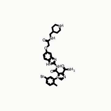 Cc1ccc(Br)cc1-n1cnc(C(N)=O)c1C(=O)Nc1nc2cc(OCC(=O)NCC3CCNCC3)ccc2[nH]1